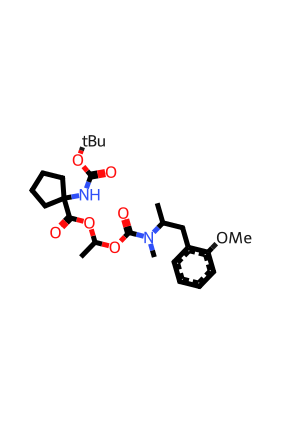 COc1ccccc1CC(C)N(C)C(=O)OC(C)OC(=O)C1(NC(=O)OC(C)(C)C)CCCC1